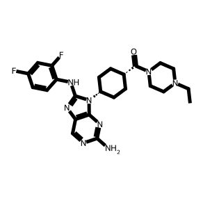 CCN1CCN(C(=O)[C@H]2CC[C@@H](n3c(Nc4ccc(F)cc4F)nc4cnc(N)nc43)CC2)CC1